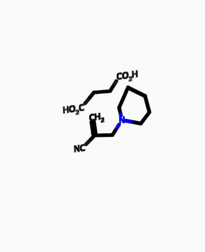 C=C(C#N)CN1CCCCC1.O=C(O)CCC(=O)O